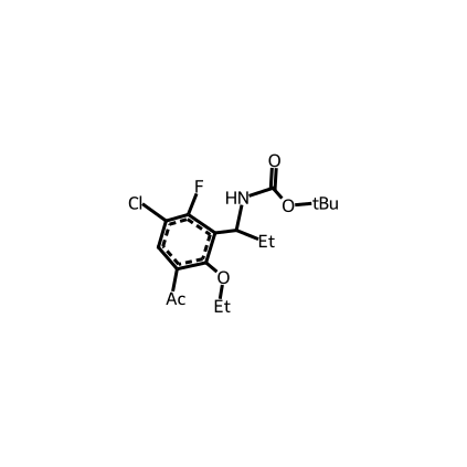 CCOc1c(C(C)=O)cc(Cl)c(F)c1C(CC)NC(=O)OC(C)(C)C